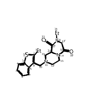 CCc1sc2ccccc2c1CN1CCN2C(=O)CN(CC)C(=O)C2C1